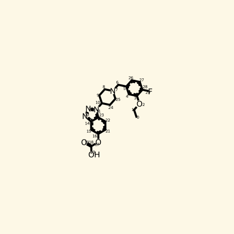 CCOc1cc(CN2CCC(n3nnc4cc(OC(=O)O)ccc43)CC2)ccc1F